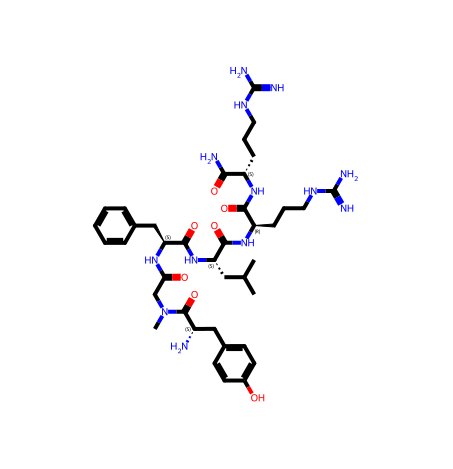 CC(C)C[C@H](NC(=O)[C@H](Cc1ccccc1)NC(=O)CN(C)C(=O)[C@@H](N)Cc1ccc(O)cc1)C(=O)N[C@H](CCCNC(=N)N)C(=O)N[C@@H](CCCNC(=N)N)C(N)=O